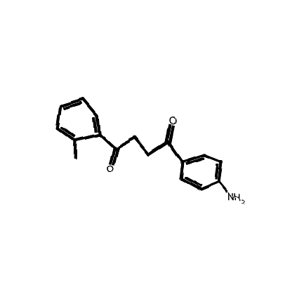 Cc1ccccc1C(=O)CCC(=O)c1ccc(N)cc1